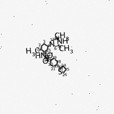 Cc1ccc(N2CC(C)NC(C)C2)cc1NS(=O)(=O)c1ccc(-c2cccs2)cc1